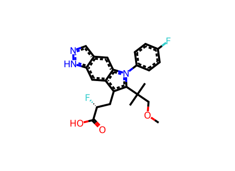 COCC(C)(C)c1c(C[C@@H](F)C(=O)O)c2cc3[nH]ncc3cc2n1-c1ccc(F)cc1